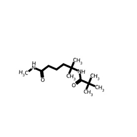 CNC(=O)CCCC(C)(C)NC(=O)C(C)(C)C